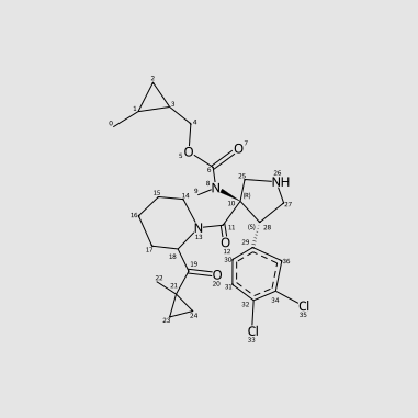 CC1CC1COC(=O)N(C)[C@@]1(C(=O)N2CCCCC2C(=O)C2(C)CC2)CNC[C@@H]1c1ccc(Cl)c(Cl)c1